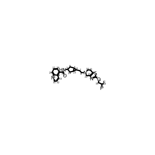 O=C(NC1CC2C(CCN3CCc4sc(OCC(F)F)nc4C3)C2C1)c1cccc2ncccc12